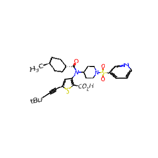 CC(C)(C)C#Cc1cc(N(C(=O)[C@H]2CC[C@H](C)CC2)C2CCN(S(=O)(=O)c3cccnc3)CC2)c(C(=O)O)s1